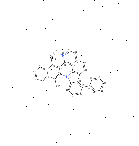 Cc1c2ccccc2c(C(C)C)c2c1c1c3c(ccc4c5c(-c6ccccc6)cccc5n2c43)cc[n+]1C